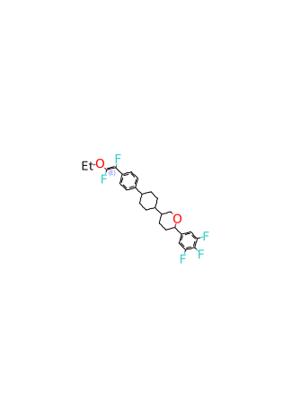 CCO/C(F)=C(\F)c1ccc(C2CCC(C3CCC(c4cc(F)c(F)c(F)c4)OC3)CC2)cc1